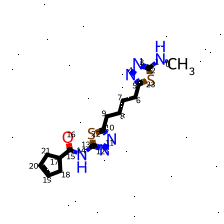 CNc1nnc(CCCCc2nnc(NC(=O)C3CC=CC3)s2)s1